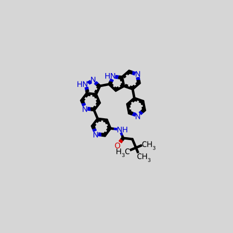 CC(C)(C)CC(=O)Nc1cncc(-c2cc3c(-c4cc5c(-c6ccncc6)cncc5[nH]4)n[nH]c3cn2)c1